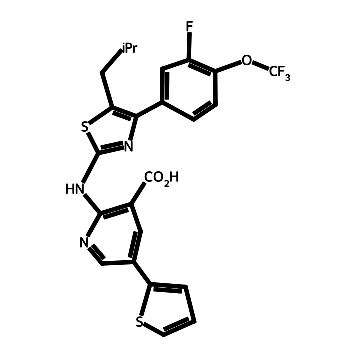 CC(C)Cc1sc(Nc2ncc(-c3cccs3)cc2C(=O)O)nc1-c1ccc(OC(F)(F)F)c(F)c1